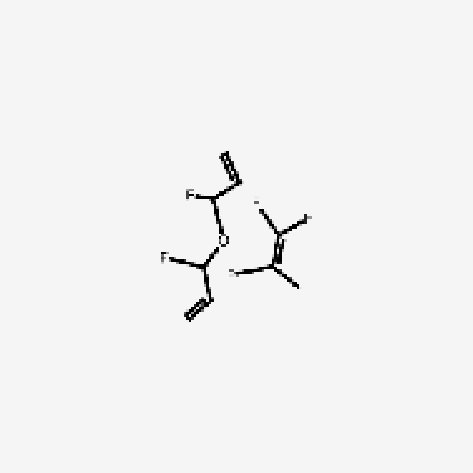 C=CC(F)OC(F)C=C.FC(F)=C(F)F